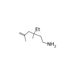 C=C(C)CC(C)(CC)CCN